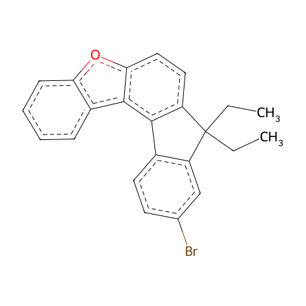 CCC1(CC)c2cc(Br)ccc2-c2c1ccc1oc3ccccc3c21